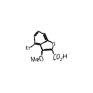 CCc1cccc2oc(C(=O)O)c(OC)c12